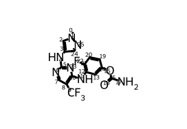 Cn1cc(Nc2ncc(C(F)(F)F)c(Nc3cc(OC(N)=O)ccc3F)n2)cn1